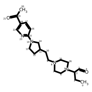 CCC(C=O)N1CCN(CCC2CCN(c3ccc(C(C)=O)cn3)C2)CC1